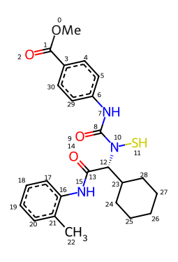 COC(=O)c1ccc(NC(=O)N(S)[C@@H](C(=O)Nc2ccccc2C)C2CCCCC2)cc1